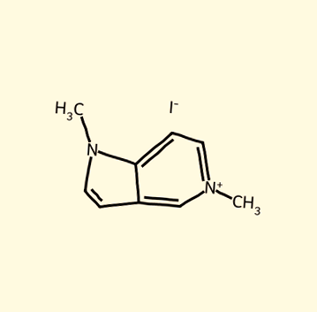 Cn1ccc2c[n+](C)ccc21.[I-]